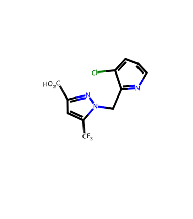 O=C(O)c1cc(C(F)(F)F)n(Cc2ncccc2Cl)n1